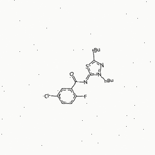 CCCCn1nc(C(C)(C)C)s/c1=N\C(=O)c1cc(Cl)ccc1F